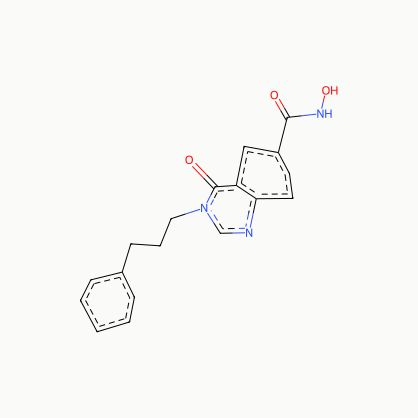 O=C(NO)c1ccc2ncn(CCCc3ccccc3)c(=O)c2c1